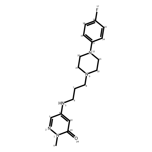 Cn1ncc(NCCCN2CCN(c3ccc(F)cc3)CC2)cc1=O